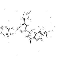 Cc1cnc(-c2cc(OCC3CNCCC3(F)F)cc(C(=O)N[C@H](C)c3cnc(C(F)(F)F)nc3)c2)s1